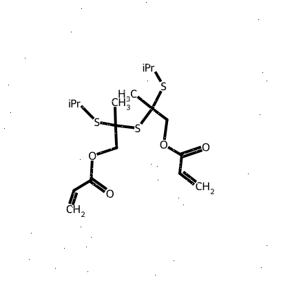 C=CC(=O)OCC(C)(SC(C)C)SC(C)(COC(=O)C=C)SC(C)C